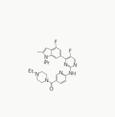 CCN1CCN(C(=O)c2ccc(Nc3ncc(F)c(-c4cc(F)c5cc(C)n(C(C)C)c5c4)n3)nc2)CC1